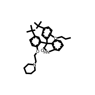 CCCOc1ccc(C(C)(C)C)cc1C1(c2cc(C(C)(C)C)ccc2OCCN2CCCCC2)C(=O)Nc2ccccc21